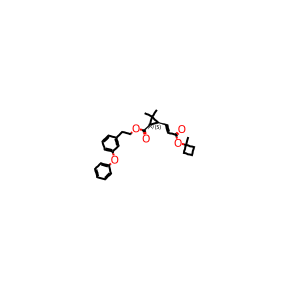 CC1(OC(=O)C=C[C@H]2[C@@H](C(=O)OCCc3cccc(Oc4ccccc4)c3)C2(C)C)CCC1